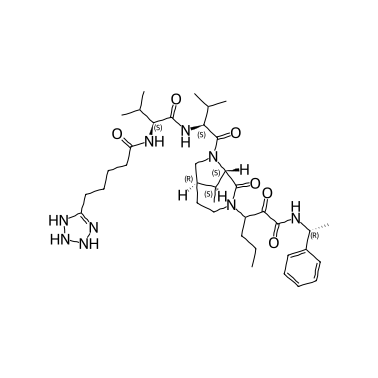 CCCC(C(=O)C(=O)N[C@H](C)c1ccccc1)N1CC[C@H]2CN(C(=O)[C@@H](NC(=O)[C@@H](NC(=O)CCCCC3=NNNN3)C(C)C)C(C)C)[C@H](C1=O)[C@H]2C